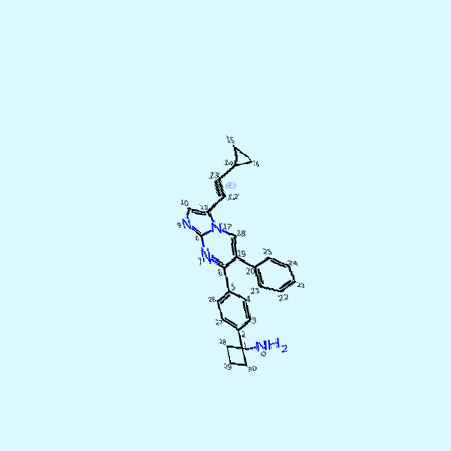 NC1(c2ccc(-c3nc4ncc(/C=C/C5CC5)n4cc3-c3ccccc3)cc2)CCC1